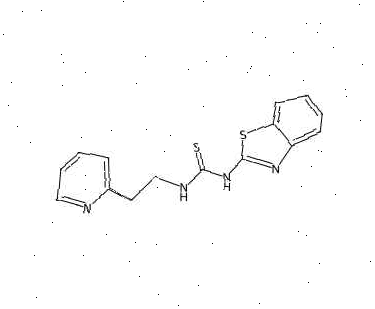 S=C(NCCc1ccccn1)Nc1nc2ccccc2s1